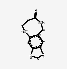 O=C1CCNc2cc3c(cc2CN1)OCO3